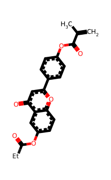 C=C(C)C(=O)Oc1ccc(-c2cc(=O)c3cc(OC(=O)CC)ccc3o2)cc1